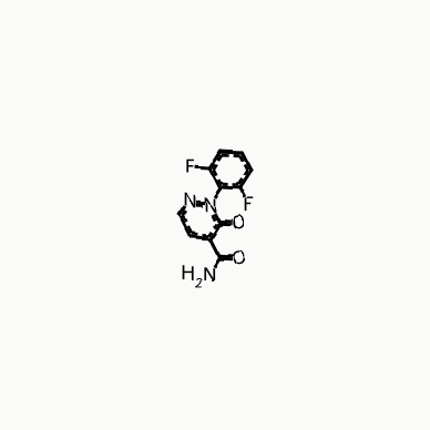 NC(=O)c1ccnn(-c2c(F)cccc2F)c1=O